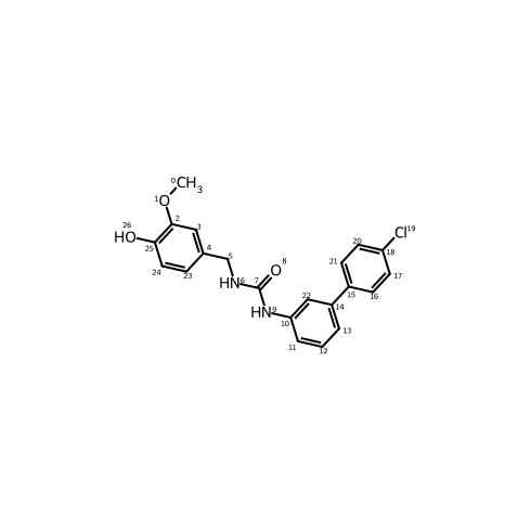 COc1cc(CNC(=O)Nc2cccc(-c3ccc(Cl)cc3)c2)ccc1O